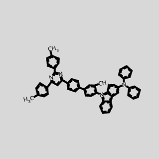 Cc1ccc(-c2cc(-c3ccc(-c4ccc(-n5c6ccccc6c6cc(N(c7ccccc7)c7ccccc7)ccc65)c(C)c4)cc3)nc(-c3ccc(C)cc3)n2)cc1